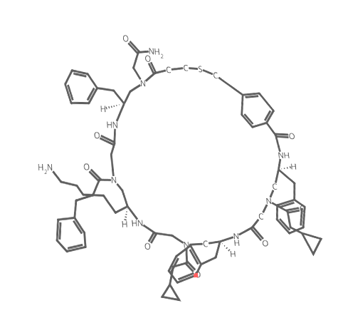 NCCCCC[C@H]1CN(C(=O)CCc2ccccc2)CC(=O)N[C@@H](Cc2ccccc2)CN(CC(N)=O)C(=O)CCSCc2ccc(cc2)C(=O)N[C@@H](Cc2ccccc2)CN(C(=O)CC2CC2)CC(=O)N[C@@H](Cc2ccccc2)CN(C(=O)CC2CC2)CC(=O)N1